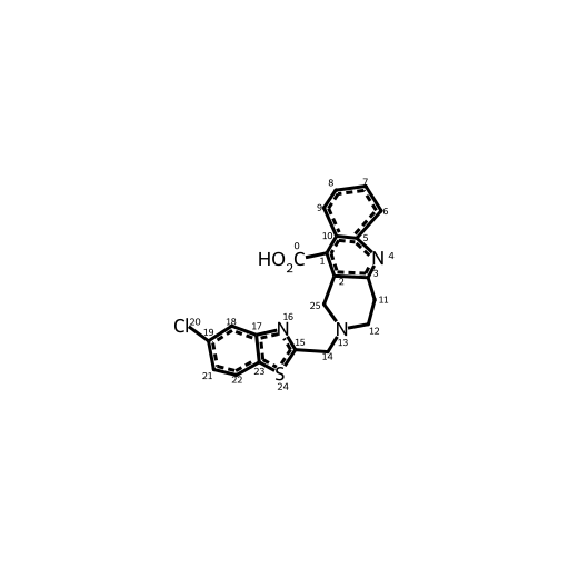 O=C(O)c1c2c(nc3ccccc13)CCN(Cc1nc3cc(Cl)ccc3s1)C2